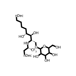 CCCCCCCCCCCCCC[C@@H](O)[C@@H](O)[C@H](COC1OC(CO)C(O)C(O)C1O)N[C@@H](CCCCCCCCCCC)C(F)(F)F